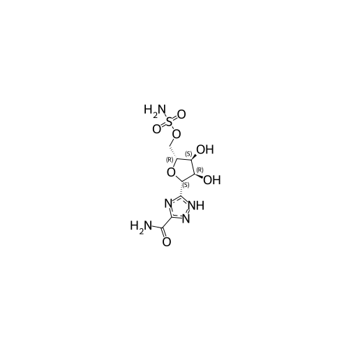 NC(=O)c1n[nH]c([C@@H]2O[C@H](COS(N)(=O)=O)[C@@H](O)[C@H]2O)n1